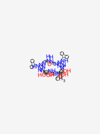 CCC(=O)N[C@H]1C[C@@H](n2cnc3c(NCC4c5ccccc5-c5ccccc54)nc(N4CC[C@@H](NC(=O)N[C@H]5CCN(c6nc(NCC7c8ccccc8-c8ccccc87)c7ncn([C@@H]8C[C@H](NC(=O)CC)[C@@H](O)[C@H]8O)c7n6)C5)C4)nc32)[C@H](O)[C@@H]1O